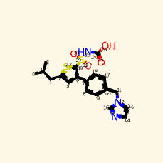 CC(C)Cc1cc(-c2ccc(Cn3ccnc3)cc2)c(S(=O)(=O)NC(=O)O)s1